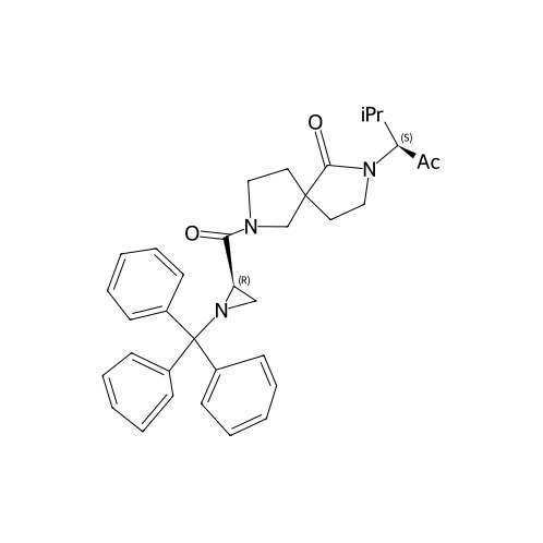 CC(=O)[C@H](C(C)C)N1CCC2(CCN(C(=O)[C@H]3CN3C(c3ccccc3)(c3ccccc3)c3ccccc3)C2)C1=O